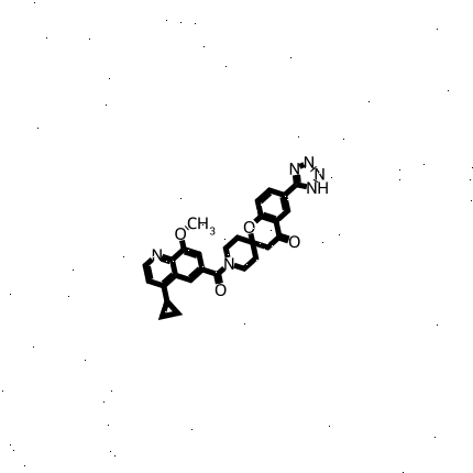 COc1cc(C(=O)N2CCC3(CC2)CC(=O)c2cc(-c4nnn[nH]4)ccc2O3)cc2c(C3CC3)ccnc12